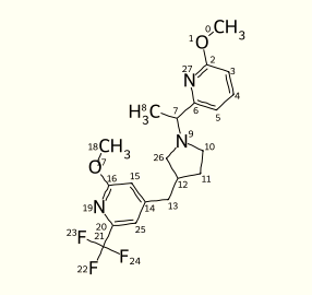 COc1cccc(C(C)N2CCC(Cc3cc(OC)nc(C(F)(F)F)c3)C2)n1